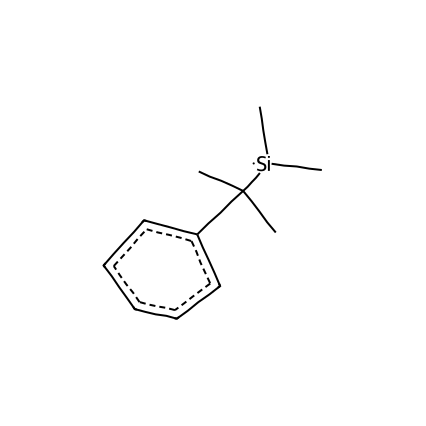 C[Si](C)C(C)(C)c1ccccc1